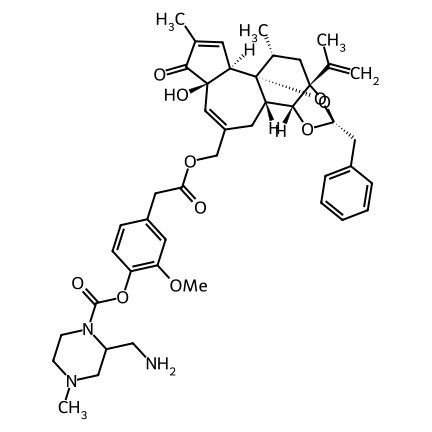 C=C(C)[C@]12C[C@@H](C)[C@@]34O[C@](Cc5ccccc5)(O[C@@H]1[C@@H]3CC(COC(=O)Cc1ccc(OC(=O)N3CCN(C)CC3CN)c(OC)c1)=C[C@]1(O)C(=O)C(C)=C[C@@H]41)O2